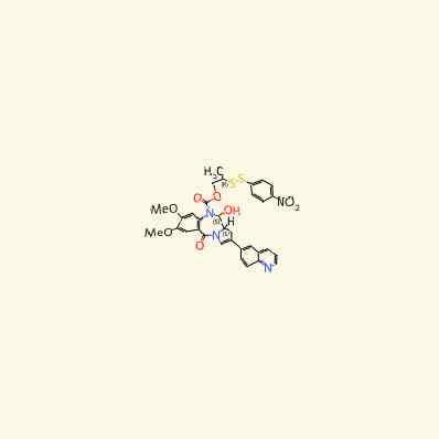 COc1cc2c(cc1OC)N(C(=O)OC[C@@H](C)SSc1ccc([N+](=O)[O-])cc1)[C@@H](O)[C@@H]1CC(c3ccc4ncccc4c3)=CN1C2=O